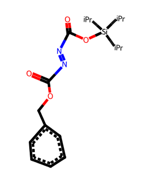 CC(C)[Si](OC(=O)N=NC(=O)OCc1ccccc1)(C(C)C)C(C)C